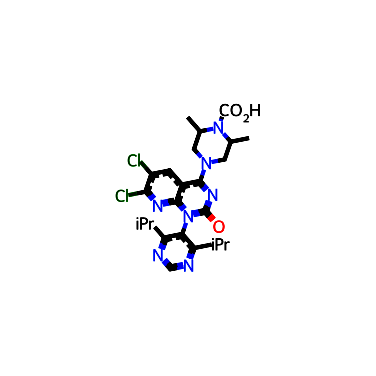 CC(C)c1ncnc(C(C)C)c1-n1c(=O)nc(N2CC(C)N(C(=O)O)C(C)C2)c2cc(Cl)c(Cl)nc21